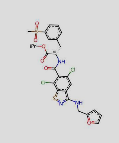 CC(C)OC(=O)[C@H](Cc1cccc(S(C)(=O)=O)c1)NC(=O)c1c(Cl)cc2c(NCc3ccco3)nsc2c1Cl